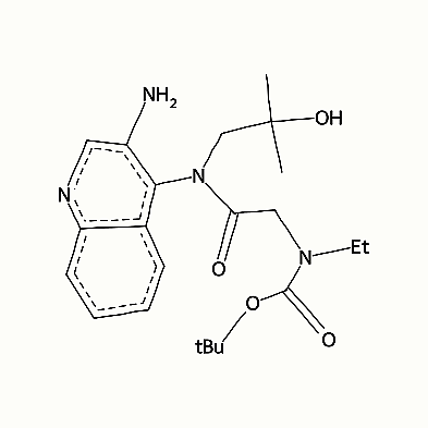 CCN(CC(=O)N(CC(C)(C)O)c1c(N)cnc2ccccc12)C(=O)OC(C)(C)C